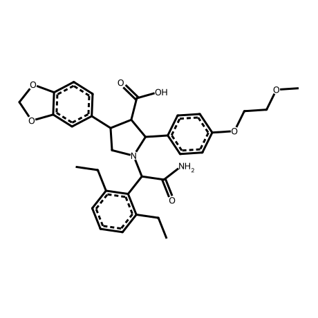 CCc1cccc(CC)c1C(C(N)=O)N1CC(c2ccc3c(c2)OCO3)C(C(=O)O)C1c1ccc(OCCOC)cc1